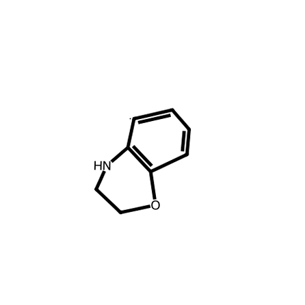 [c]1cccc2c1NCCO2